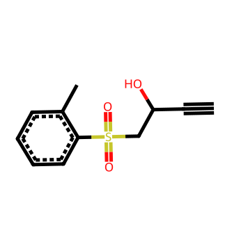 C#CC(O)CS(=O)(=O)c1ccccc1C